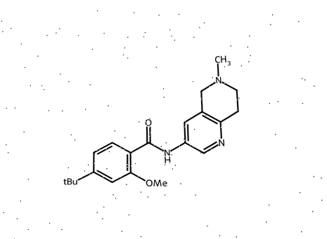 COc1cc(C(C)(C)C)ccc1C(=O)Nc1cnc2c(c1)CN(C)CC2